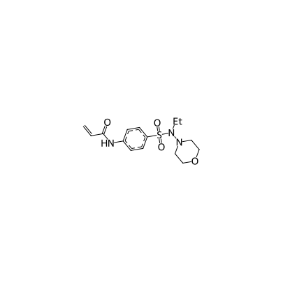 C=CC(=O)Nc1ccc(S(=O)(=O)N(CC)N2CCOCC2)cc1